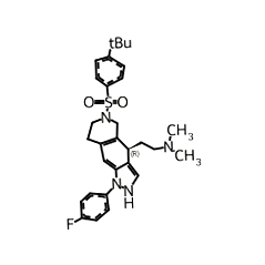 CN(C)CC[C@H]1C2=CNN(c3ccc(F)cc3)C2=CC2=C1CN(S(=O)(=O)c1ccc(C(C)(C)C)cc1)CC2